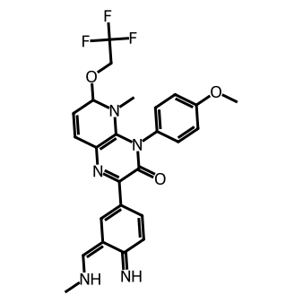 CN/C=C1/C=C(c2nc3c(n(-c4ccc(OC)cc4)c2=O)N(C)C(OCC(F)(F)F)C=C3)C=CC1=N